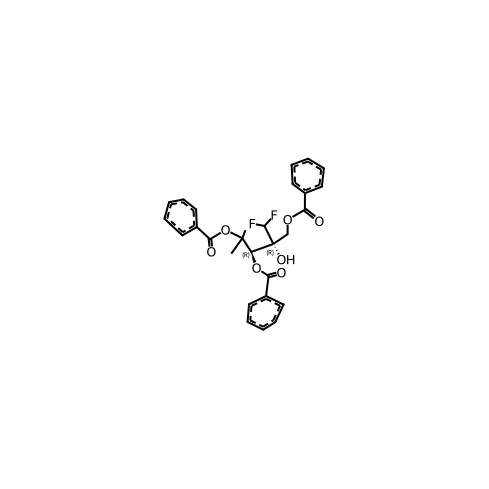 CC(C)(OC(=O)c1ccccc1)[C@H](OC(=O)c1ccccc1)[C@](O)(COC(=O)c1ccccc1)C(F)F